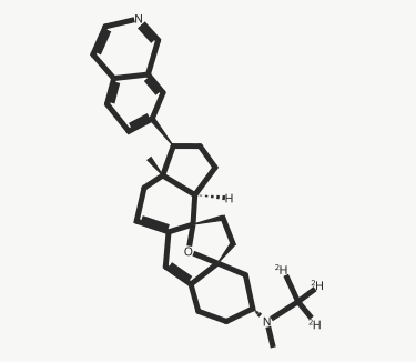 [2H]C([2H])([2H])N(C)[C@@H]1CCC2=CC3=CC[C@]4(C)[C@@H](c5ccc6ccncc6c5)CC[C@H]4[C@@]34CC[C@]2(C1)O4